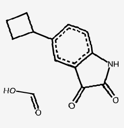 O=C1Nc2ccc(C3CCC3)cc2C1=O.O=CO